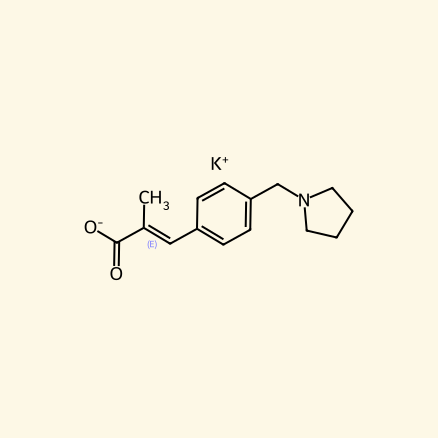 C/C(=C\c1ccc(CN2CCCC2)cc1)C(=O)[O-].[K+]